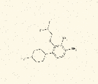 CN1CCC(c2ccc(N)c(N)c2OCC(F)F)CC1